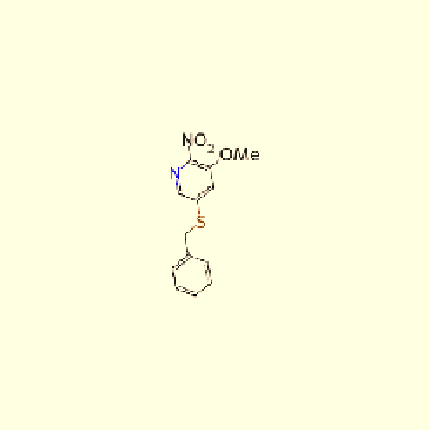 COc1cc(SCc2ccccc2)cnc1[N+](=O)[O-]